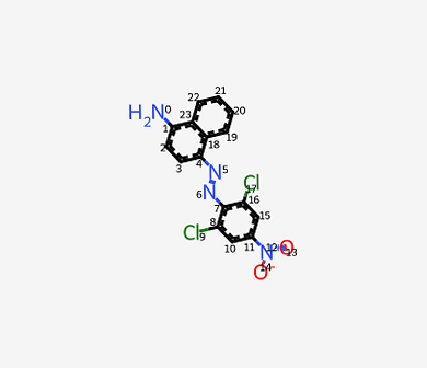 Nc1ccc(N=Nc2c(Cl)cc([N+](=O)[O-])cc2Cl)c2ccccc12